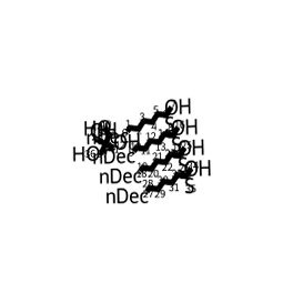 CCCCCCCCCCCCCCCC(O)=S.CCCCCCCCCCCCCCCC(O)=S.CCCCCCCCCCCCCCCC(O)=S.CCCCCCCCCCCCCCCC(O)=S.OCC(CO)(CO)CO